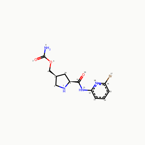 NC(=O)OC[C@@H]1CN[C@H](C(=O)Nc2cccc(Br)n2)C1